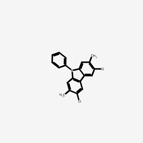 Cc1cc2c(cc1Cl)-c1cc(Cl)c(C)cc1B2c1ccccc1